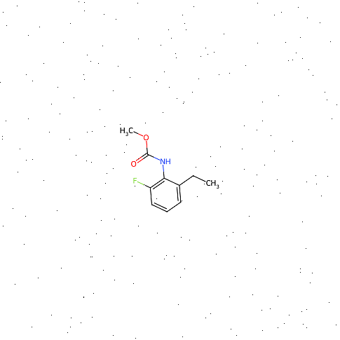 CCc1cccc(F)c1NC(=O)OC